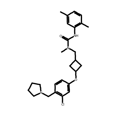 Cc1ccc(C)c(NC(=O)N(C)CC2CC(Oc3ccc(CN4CCCC4)c(Cl)c3)C2)c1